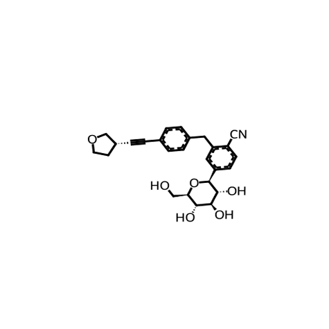 N#Cc1ccc([C@@H]2O[C@H](CO)[C@@H](O)[C@H](O)[C@H]2O)cc1Cc1ccc(C#C[C@@H]2CCOC2)cc1